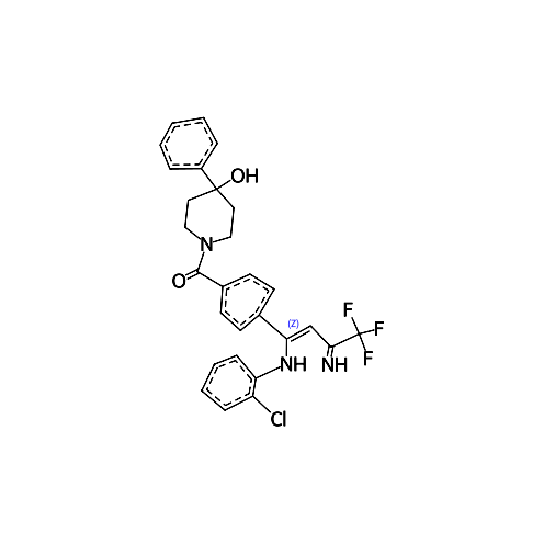 N=C(/C=C(\Nc1ccccc1Cl)c1ccc(C(=O)N2CCC(O)(c3ccccc3)CC2)cc1)C(F)(F)F